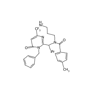 Cc1ccc(C(=O)N(CCCN)C(c2nc(C(F)(F)F)cc(=O)n2Cc2ccccc2)C(C)C)cc1